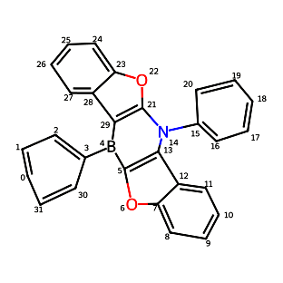 c1ccc(B2c3oc4ccccc4c3N(c3ccccc3)c3oc4ccccc4c32)cc1